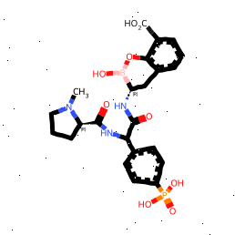 CN1CCC[C@@H]1C(=O)NC(C(=O)N[C@H]1Cc2cccc(C(=O)O)c2OB1O)c1ccc(P(=O)(O)O)cc1